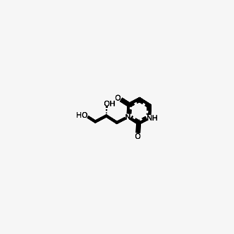 O=c1cc[nH]c(=O)n1C[C@@H](O)CO